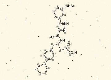 CC(=O)Nc1cccc(-c2cc(C(=O)NC(Cc3ccc(-c4ccccc4)cc3)C[C@@H](O)C(=O)O)n[nH]2)c1